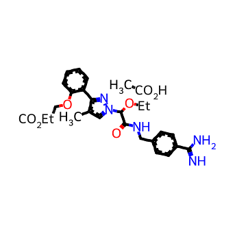 CC(=O)O.CCOC(=O)COc1ccccc1-c1nn(C(OCC)C(=O)NCc2ccc(C(=N)N)cc2)cc1C